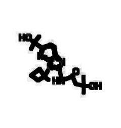 CC(C)(O)CC(=O)Nc1nc2ccc(C(C)(C)O)nc2n1C1(C)CCC1